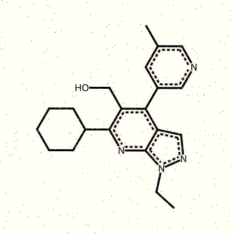 CCn1ncc2c(-c3cncc(C)c3)c(CO)c(C3CCCCC3)nc21